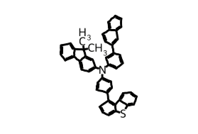 CC1(C)c2ccccc2-c2ccc(N(c3ccc(-c4cccc5sc6ccccc6c45)cc3)c3cccc(-c4ccc5ccccc5c4)c3)cc21